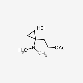 CC(=O)OCCC1(N(C)C)CC1.Cl